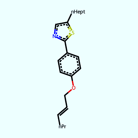 CCC/C=C/COc1ccc(-c2ncc(CCCCCCC)s2)cc1